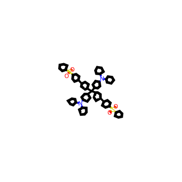 O=S(=O)(c1ccccc1)c1ccc(-c2ccc(C(c3ccc(-c4ccc(S(=O)(=O)c5ccccc5)cc4)cc3)(c3ccc(N(c4ccccc4)c4ccccc4)cc3)c3ccc(N(c4ccccc4)c4ccccc4)cc3)cc2)cc1